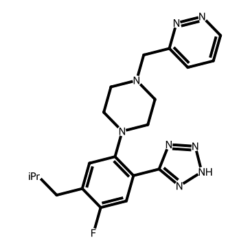 CC(C)Cc1cc(N2CCN(Cc3cccnn3)CC2)c(-c2nn[nH]n2)cc1F